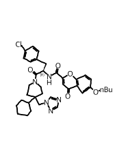 CCCCOc1ccc2oc(C(=O)N[C@H](Cc3ccc(Cl)cc3)C(=O)N3CCC(Cn4cncn4)(C4CCCCC4)CC3)cc(=O)c2c1